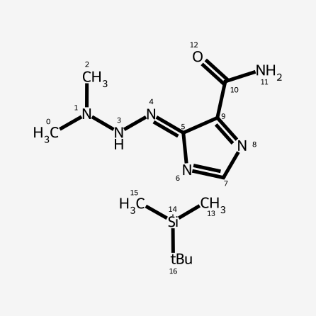 CN(C)N/N=C1\N=CN=C1C(N)=O.C[Si](C)C(C)(C)C